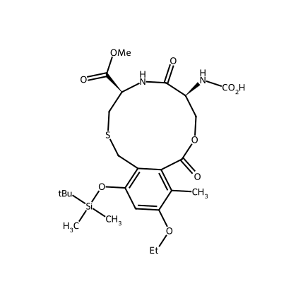 CCOc1cc(O[Si](C)(C)C(C)(C)C)c2c(c1C)C(=O)OC[C@H](NC(=O)O)C(=O)N[C@H](C(=O)OC)CSC2